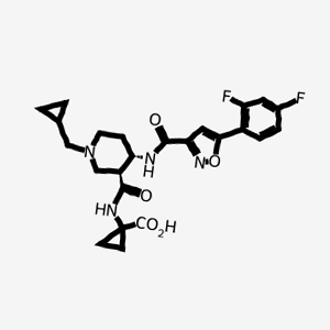 O=C(N[C@H]1CCN(CC2CC2)C[C@@H]1C(=O)NC1(C(=O)O)CC1)c1cc(-c2ccc(F)cc2F)on1